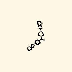 O=C(c1ccc(N2CC3(CCCO3)C2)cc1)N1CCN(c2nc3ncccc3o2)CC1